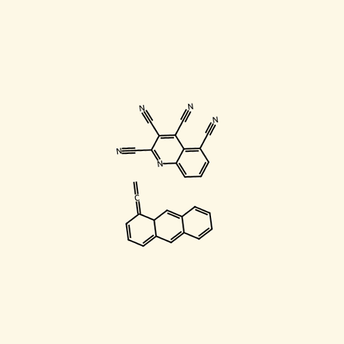 C=C=C1C=CC=C2C=c3ccccc3=CC12.N#Cc1nc2cccc(C#N)c2c(C#N)c1C#N